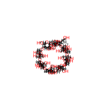 OC[C@H]1O[C@@H]2O[C@H]3[C@H](O)[C@@H](O)[C@@H](O[C@H]4[C@H](O)[C@@H](O)[C@@H](O[C@H]5[C@H](O)[C@@H](O)[C@@H](O[C@H]6[C@H](O)[C@@H](O)[C@@H](O[C@H]7[C@H](O)[C@@H](O)[C@@H](O[C@H]8[C@H](O)[C@@H](O)[C@@H](O[C@H]9[C@H](O)[C@@H](O)[C@@H](O[C@H]1[C@H](O)[C@H]2O)O[C@@H]9CO)O[C@@H]8CO)O[C@@H]7CO)O[C@@H]6CO)O[C@@H]5CO)O[C@@H]4CO)O[C@@H]3CO.[CH2]CCO